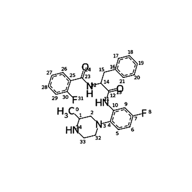 CC1CN(c2ccc(F)cc2NC(=O)C(Cc2ccccc2)NC(=O)c2ccccc2F)CCN1